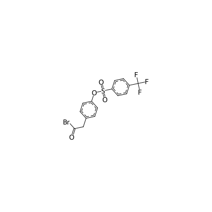 O=C(Br)Cc1ccc(OS(=O)(=O)c2ccc(C(F)(F)F)cc2)cc1